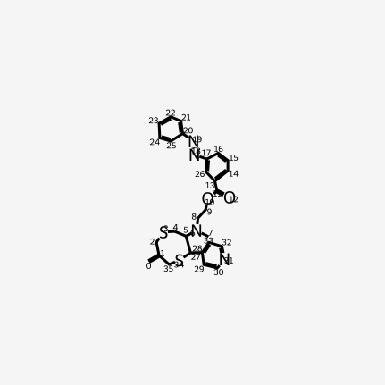 C=C1CSCC(N(C)CCOC(=O)c2cccc(/N=N/c3ccccc3)c2)C(c2ccncc2)SC1